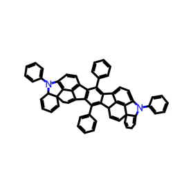 C1=CC2N(c3ccccc3)c3ccc4c5c3C2(C=C1)CC=C5c1c-4c(-c2ccccc2)c2c(c1-c1ccccc1)C1C=CC34C=CCC=C3N(c3ccccc3)c3ccc-2c1c34